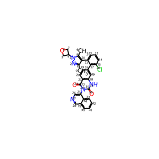 Cc1nn(C2COC2)c(C)c1-c1cccc(Cl)c1-c1ccc2c(=O)n(-c3cncc4ccccc34)c(=O)[nH]c2c1